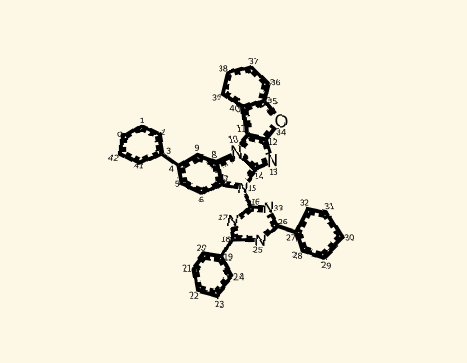 c1ccc(-c2ccc3c(c2)n2c4c(nc2n3-c2nc(-c3ccccc3)nc(-c3ccccc3)n2)oc2ccccc24)cc1